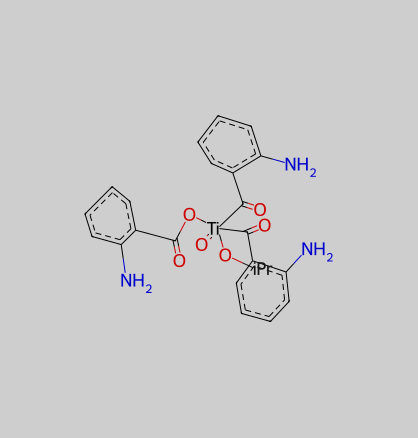 CC(C)[O][Ti](=[O])([O]C(=O)c1ccccc1N)([C](=O)c1ccccc1N)[C](=O)c1ccccc1N